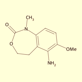 COc1ccc2c(c1N)CCOC(=O)N2C